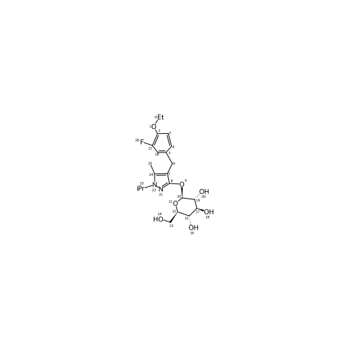 CCOc1ccc(Cc2c(O[C@@H]3O[C@H](CO)[C@@H](O)[C@H](O)[C@H]3O)nn(C(C)C)c2C)cc1F